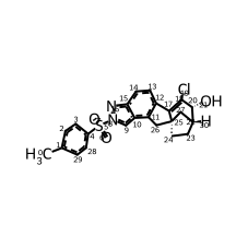 Cc1ccc(S(=O)(=O)n2cc3c4c(ccc3n2)C2=C(Cl)[C@H](O)[C@@H]3CC[C@@]2(C4)C3)cc1